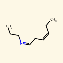 CC/C=C\C/C=N\CCC